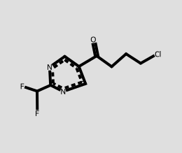 O=C(CCCCl)c1cnc(C(F)F)nc1